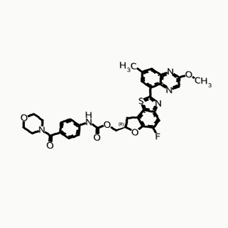 COc1cnc2c(-c3nc4cc(F)c5c(c4s3)C[C@H](COC(=O)Nc3ccc(C(=O)N4CCOCC4)cc3)O5)cc(C)cc2n1